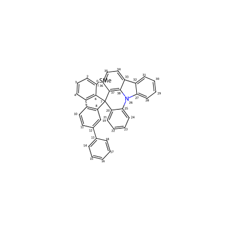 CSc1ccccc1C1(c2cccc(-c3ccccc3)c2)c2ccccc2-n2c3ccccc3c3cccc1c32